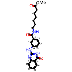 COC(=O)CCCCCCNC(=O)c1cccc(Nc2nc3ccccc3c(=O)[nH]2)c1